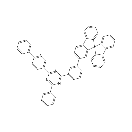 c1ccc(-c2ccc(-c3nc(-c4ccccc4)nc(-c4cccc(-c5ccc6c(c5)C5(c7ccccc7-c7ccccc75)c5ccccc5-6)c4)n3)cn2)cc1